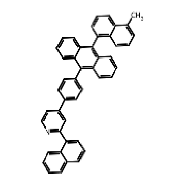 Cc1cccc2c(-c3c4ccccc4c(-c4ccc(-c5ccnc(-c6cccc7ccccc67)c5)cc4)c4ccccc34)cccc12